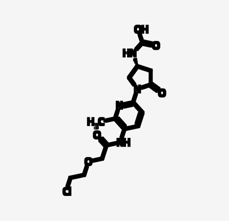 Cc1nc(N2C[C@H](NC(=O)O)CC2=O)ccc1NC(=O)COCCCl